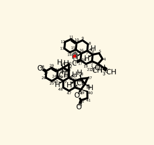 C#C[C@]1(O)CC[C@H]2[C@@H]3CCC4=CCCC[C@@H]4[C@H]3C(=C)C[C@@]21CC.C[C@]12CCC(=O)C=C1[C@@H]1C[C@@H]1[C@H]1[C@@H]3[C@@H]4C[C@@H]4[C@@]4(CCC(=O)O4)[C@@]3(C)CC[C@@H]12